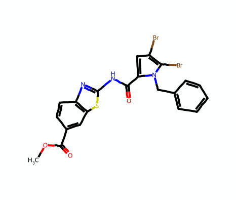 COC(=O)c1ccc2nc(NC(=O)c3cc(Br)c(Br)n3Cc3ccccc3)sc2c1